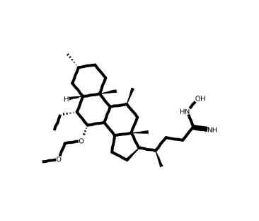 CC[C@H]1[C@@H](OCOC)C2C3CC[C@H]([C@H](C)CCC(=N)NO)[C@@]3(C)C[C@H](C)C2[C@@]2(C)CC[C@@H](C)C[C@@H]12